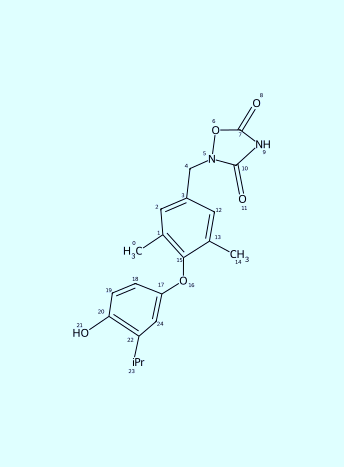 Cc1cc(Cn2oc(=O)[nH]c2=O)cc(C)c1Oc1ccc(O)c(C(C)C)c1